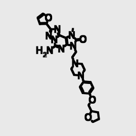 Cn1c(=O)n(CCN2CCN(c3ccc(OCC4CCCO4)cc3)CC2)c2nc(N)n3nc(-c4ccco4)nc3c21